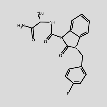 CC(C)(C)[C@H](NC(=O)n1c(=O)n(Cc2ccc(F)cc2)c2ccccc21)C(N)=O